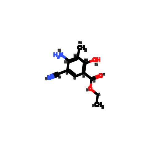 CCOC(=O)c1cc(C#N)c(N)c(C)c1O